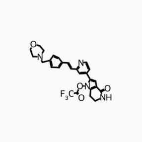 O=C1NCCc2c1cc(-c1ccnc(C=Cc3ccc(CN4CCOCC4)cc3)c1)n2OC(=O)C(F)(F)F